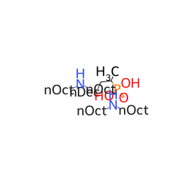 CCCCCCCCCCCC(C)P(=O)(O)O.CCCCCCCCNCCCCCCCC.CCCCCCCCNCCCCCCCC